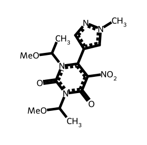 COC(C)n1c(-c2cnn(C)c2)c([N+](=O)[O-])c(=O)n(C(C)OC)c1=O